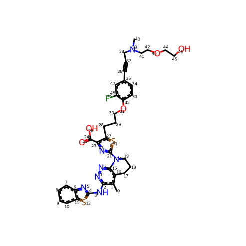 Cc1c(Nc2nc3ccccc3s2)nnc2c1CCCN2c1nc(C(=O)O)c(CCCOc2ccc(C#CCN(C)CCOCCO)cc2F)s1